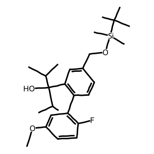 COc1ccc(F)c(-c2ccc(CO[Si](C)(C)C(C)(C)C)cc2C(O)(C(C)C)C(C)C)c1